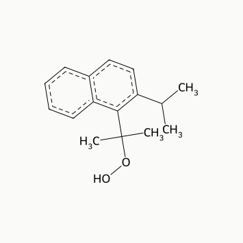 CC(C)c1ccc2ccccc2c1C(C)(C)OO